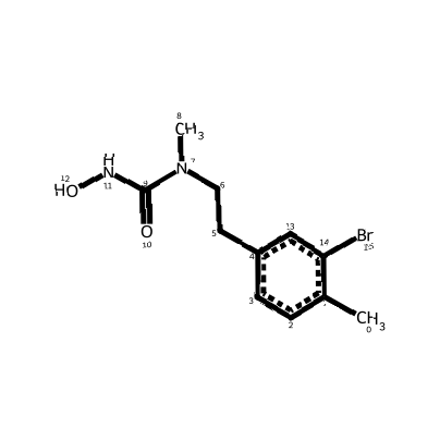 Cc1ccc(CCN(C)C(=O)NO)cc1Br